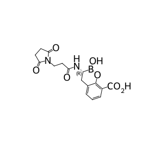 O=C(CCN1C(=O)CCC1=O)N[C@H]1Cc2cccc(C(=O)O)c2OB1O